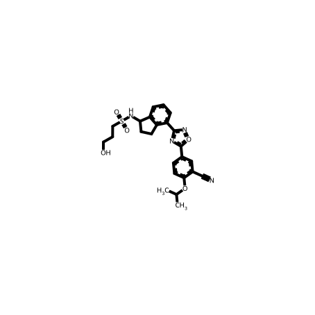 CC(C)Oc1ccc(-c2nc(-c3cccc4c3CCC4NS(=O)(=O)CCCO)no2)cc1C#N